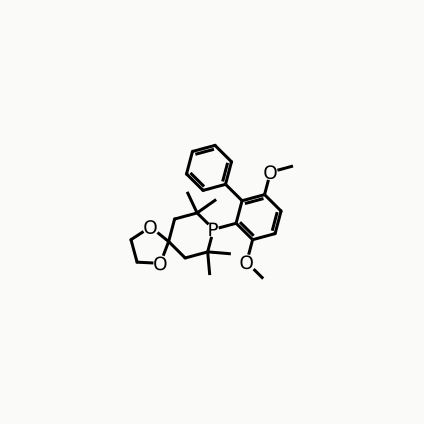 COc1ccc(OC)c(P2C(C)(C)CC3(CC2(C)C)OCCO3)c1-c1ccccc1